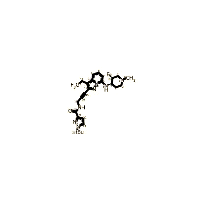 CN1CC[C@@H](Nc2cccc3c(CC(F)(F)F)c(C#CCNC(=O)c4ccn(C(C)(C)C)n4)nn23)[C@@H](F)C1